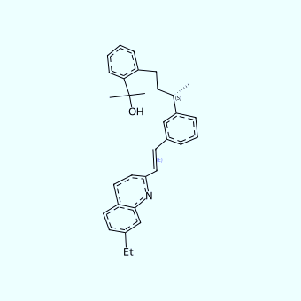 CCc1ccc2ccc(/C=C/c3cccc([C@@H](C)CCc4ccccc4C(C)(C)O)c3)nc2c1